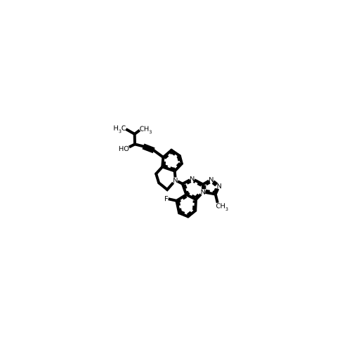 Cc1nnc2nc(N3CCCc4c(C#CC(O)C(C)C)cccc43)c3c(F)cccc3n12